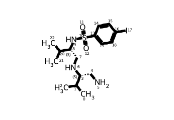 CC(C)[C@@H](CN)NC[C@@H](NS(=O)(=O)c1ccc(I)cc1)C(C)C